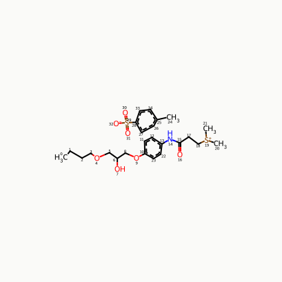 CCCCOCC(O)COc1ccc(NC(=O)CC[S+](C)C)cc1.Cc1ccc(S(=O)(=O)[O-])cc1